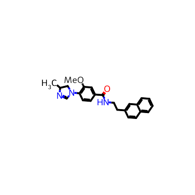 COc1cc(C(=O)NCCc2ccc3ccccc3c2)ccc1N1C=NC(C)C1